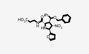 CC(C)C(OCc1ccccc1)[C@H]1[C@H]([N+](=O)[O-])[C@@H](c2ccco2)N[C@@H]1C(=O)NCCC(=O)O